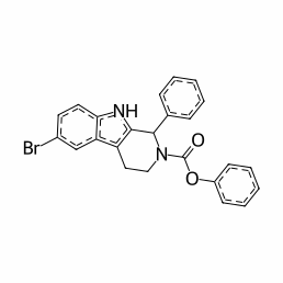 O=C(Oc1ccccc1)N1CCc2c([nH]c3ccc(Br)cc23)C1c1ccccc1